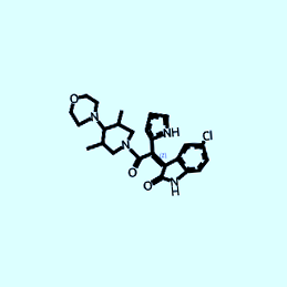 CC1CN(C(=O)/C(=C2\C(=O)Nc3ccc(Cl)cc32)c2ccc[nH]2)CC(C)C1N1CCOCC1